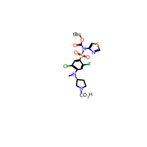 CN(c1cc(F)c(S(=O)(=O)N(C(=O)OC(C)(C)C)c2cscn2)cc1Cl)[C@H]1CCN(C(=O)O)C1